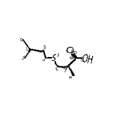 CC(C)CCSC[C@H](C)C(=O)O